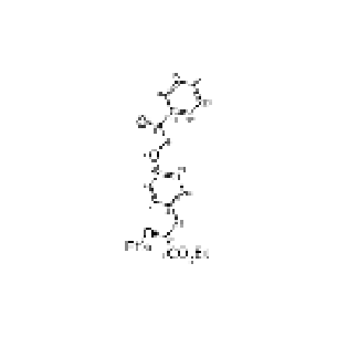 CCOC(=O)C(Cc1ccc(OCC(=O)c2ccccc2)cc1)OCC